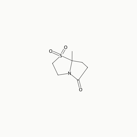 CC12CCC(=O)N1CCS2(=O)=O